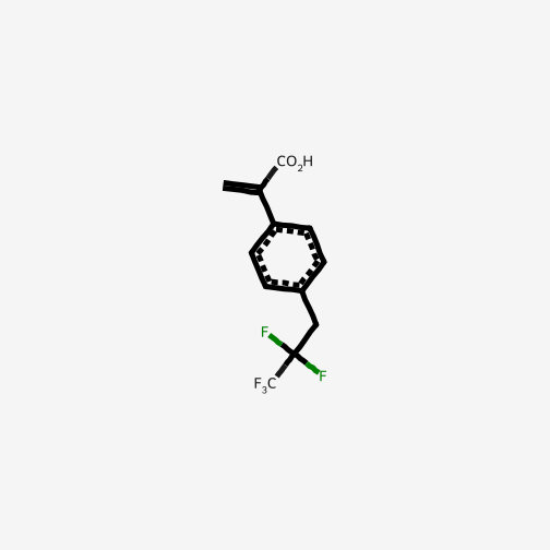 C=C(C(=O)O)c1ccc(CC(F)(F)C(F)(F)F)cc1